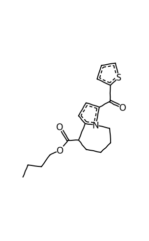 CCCCOC(=O)C1CCCCn2c(C(=O)c3cccs3)ccc21